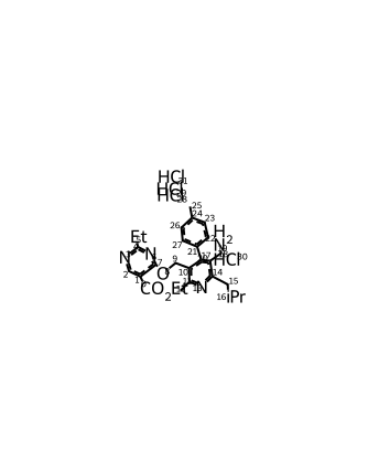 CCOC(=O)c1cnc(CC)nc1OCc1c(C)nc(CC(C)C)c(CN)c1-c1ccc(C)cc1.Cl.Cl.Cl.Cl